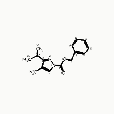 Cc1cn(C(=O)OCc2ccccc2)nc1C(C)C